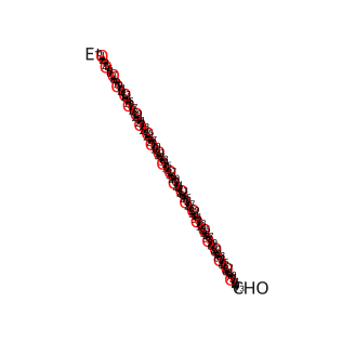 CCOCCOCCOCCOCCOCCOCCOCCOCCOCCOCCOCCOCCOCCOCCOCCOCCOCCOCCOCCOCCOCCOCCOCCOCCC=O